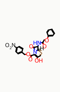 O=C(COc1ccccc1)NC1C(=O)N2C(C(=O)OCc3ccc([N+](=O)[O-])cc3)=C(O)CS[C@H]12